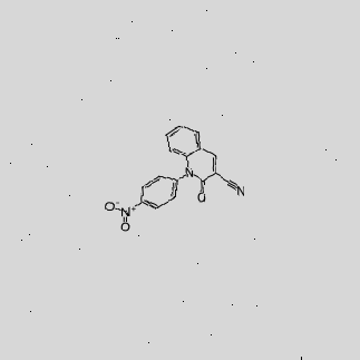 N#Cc1cc2ccccc2n(-c2ccc([N+](=O)[O-])cc2)c1=O